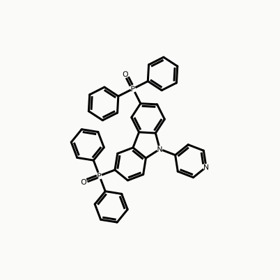 O=P(c1ccccc1)(c1ccccc1)c1ccc2c(c1)c1cc(P(=O)(c3ccccc3)c3ccccc3)ccc1n2-c1ccncc1